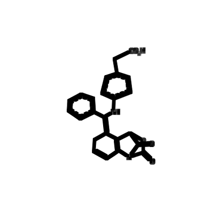 O=C(O)Cc1ccc(NC(=C2CC=CC3=C2C2OC(=O)N3C2=O)c2ccccc2)cc1